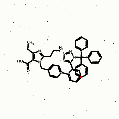 CCCc1nc(CC)c(C(=O)O)n1Cc1ccc(-c2ccccc2-c2nnnn2C(c2ccccc2)(c2ccccc2)c2ccccc2)cc1